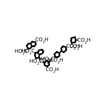 O=C(O)c1cc(C(=O)O)cc(C(=O)O)c1.O=C(O)c1ccc(-c2ccc(C(=O)O)cc2)cc1.O=C(O)c1ccc(C(=O)O)c2ccccc12.O=C(O)c1ccc2cc(C(=O)O)ccc2c1.O=C(O)c1cccc(C(=O)O)c1